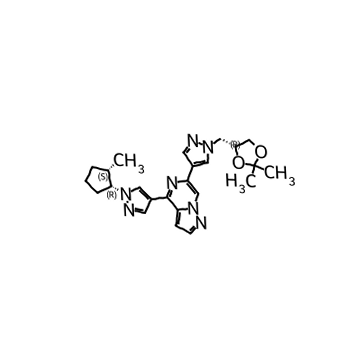 C[C@H]1CCC[C@H]1n1cc(-c2nc(-c3cnn(C[C@@H]4COC(C)(C)O4)c3)cn3nccc23)cn1